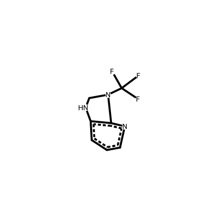 FC(F)(F)N1CNc2cccnc21